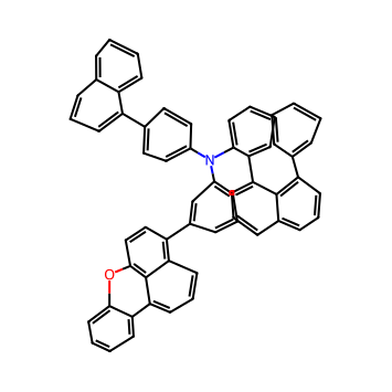 c1ccc(-c2cccc3cccc(-c4ccccc4N(c4ccc(-c5cccc6ccccc56)cc4)c4cccc(-c5ccc6c7c(cccc57)-c5ccccc5O6)c4)c23)cc1